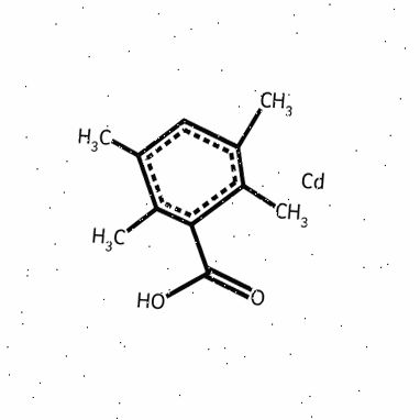 Cc1cc(C)c(C)c(C(=O)O)c1C.[Cd]